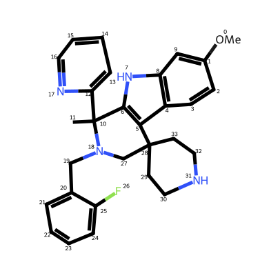 COc1ccc2c3c([nH]c2c1)C(C)(c1ccccn1)N(Cc1ccccc1F)CC31CCNCC1